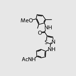 COc1ccc(C)c(NC(=O)c2cnc(Nc3ccc(NC(C)=O)cc3)s2)c1C